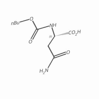 CCCCOC(=O)N[C@@H](CC(N)=O)C(=O)O